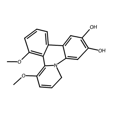 COC1=C2c3c(OC)cccc3-c3cc(O)c(O)cc3N2CC=C1